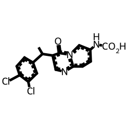 CC(c1ccc(Cl)c(Cl)c1)c1cnc2ccc(NC(=O)O)cn2c1=O